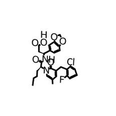 CCCC[C@@H](C(=O)N[C@@H](CC(=O)O)c1ccc2c(c1)OCO2)n1cc(C)cc(Cc2c(F)cccc2Cl)c1=O